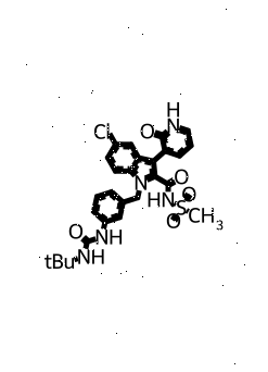 CC(C)(C)NC(=O)Nc1cccc(Cn2c(C(=O)NS(C)(=O)=O)c(-c3ccc[nH]c3=O)c3cc(Cl)ccc32)c1